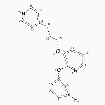 Fc1cccc(Oc2ncccc2OCCCc2ccncc2)c1